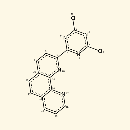 Clc1nc(Cl)nc(-c2ccc3ccc4cccnc4c3n2)n1